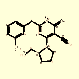 Cc1cccc(Cc2nc(N3CCC[C@H]3CO)c(C#N)c(=O)[nH]2)c1